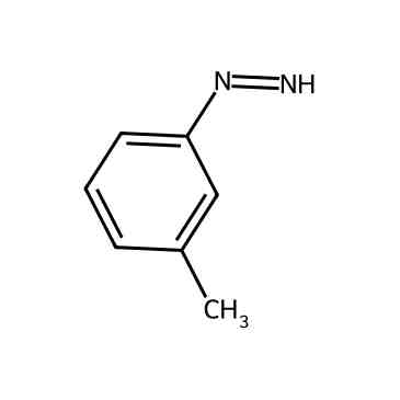 Cc1cccc(N=N)c1